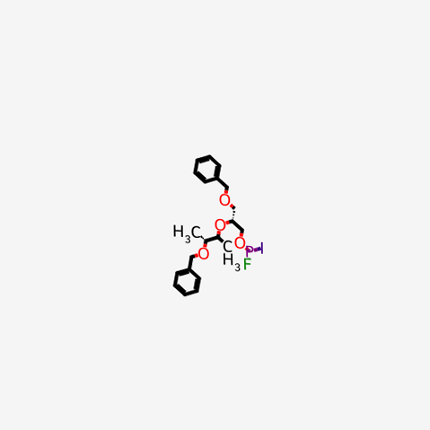 CC(O[C@H](COCc1ccccc1)COP(F)I)[C@@H](C)OCc1ccccc1